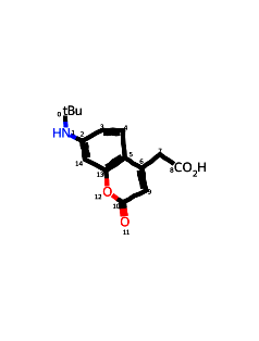 CC(C)(C)Nc1ccc2c(CC(=O)O)cc(=O)oc2c1